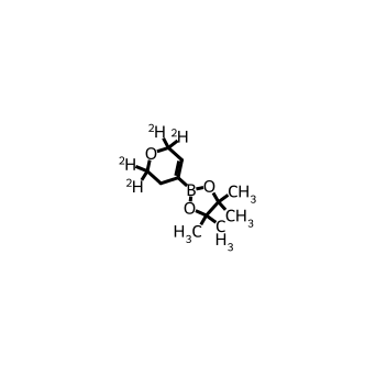 [2H]C1([2H])C=C(B2OC(C)(C)C(C)(C)O2)CC([2H])([2H])O1